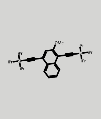 COc1cc(C#C[Si](C(C)C)(C(C)C)C(C)C)c2ccccc2c1C#C[Si](C(C)C)(C(C)C)C(C)C